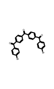 O=C(c1ccc(Br)cc1)c1ccc(C(=O)c2ccc(C(=O)c3ccc(Br)cc3)cc2)cc1